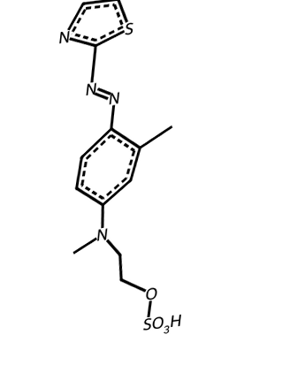 Cc1cc(N(C)CCOS(=O)(=O)O)ccc1N=Nc1nccs1